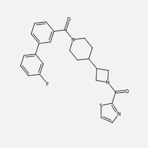 O=C(c1cccc(-c2cccc(F)c2)c1)N1CCC(C2CN(C(=O)c3nccs3)C2)CC1